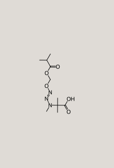 CC(C)C(=O)OCON=NN(C)C(C)(C)C(=O)O